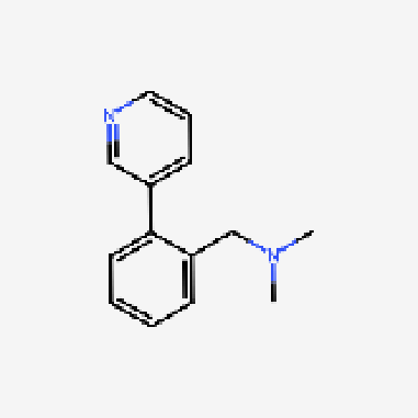 CN(C)Cc1ccccc1-c1cccnc1